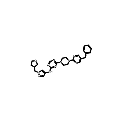 c1ccc(Cc2cnc(N3CCN(c4ncnc(Nc5cnn(CC6CCOC6)c5)n4)CC3)nc2)cc1